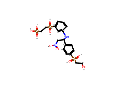 O=[N+]([O-])CC(Nc1cccc(S(=O)(=O)CCS(=O)(=O)O)c1)c1ccc(S(=O)(=O)CCO)cc1